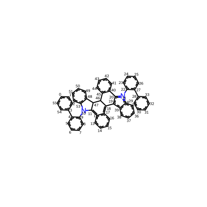 c1ccc(-c2ccccc2N2C3=c4ccccc4=C4c5c(n(-c6ccccc6-c6ccccc6)c6ccccc56)-c5ccccc5C4C3c3ccccc32)cc1